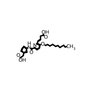 CCCCCCCCCCOc1ccc(C(=O)Nc2cccc(CC(=O)O)c2)nc1/C=C/CC(=O)O